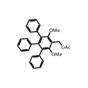 COc1c(COC(C)=O)c(OC)c(-c2ccccc2)c(-c2ccccc2)c1-c1ccccc1